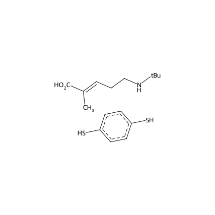 CC(=CCCNC(C)(C)C)C(=O)O.Sc1ccc(S)cc1